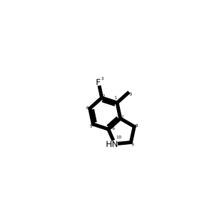 Cc1c(F)ccc2c1CCN2